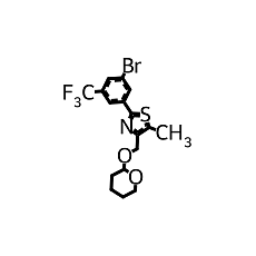 Cc1sc(-c2cc(Br)cc(C(F)(F)F)c2)nc1COC1CCCCO1